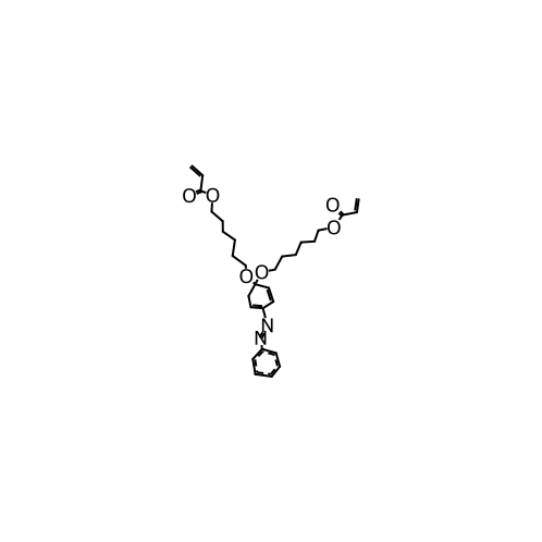 C=CC(=O)OCCCCCCOC1(OCCCCCCOC(=O)C=C)C=CC(N=Nc2ccccc2)=CC1